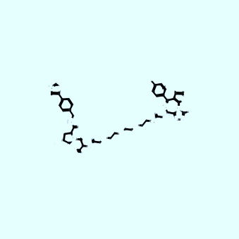 Cc1ncsc1-c1ccc(CNC(=O)C2C[C@@H](O)CN2C(=O)C(NC(=O)COCCOCCOCCNC(=O)C[C@@H]2N=C(c3ccc(Cl)cc3)c3c(sc(C)c3C)-n3c(C)nnc32)C(C)(C)C)cc1